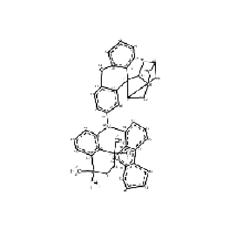 CC1(C)CCC(C)(C)c2c(N(c3ccc4c(c3)C3(c5ccccc5O4)C4CC5CC(C4)C3C5)c3cccc4c3oc3ccccc34)cccc21